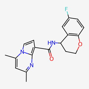 Cc1cc(C)n2ccc(C(=O)NC3CCOc4ccc(F)cc43)c2n1